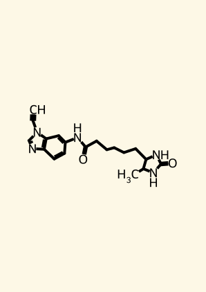 C#Cn1cnc2ccc(NC(=O)CCCCCC3NC(=O)NC3C)cc21